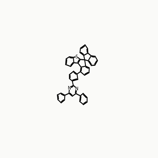 c1ccc(-c2cc(-c3ccccc3)nc(-c3cccc(-c4cccc5c4-c4c(sc6ccccc46)C54c5ccccc5-c5ccccc54)c3)n2)cc1